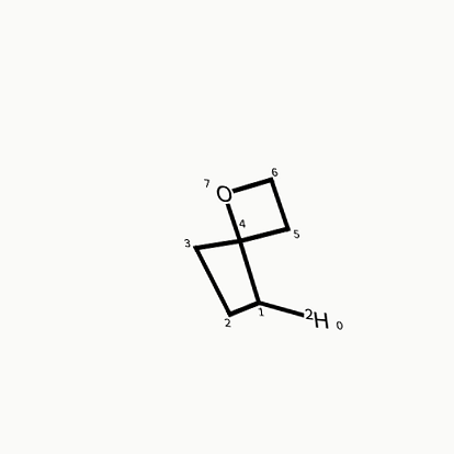 [2H]C1CCC12CCO2